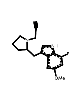 C#CCN1CCCC1Cc1c[nH]c2c(F)cc(OC)cc12